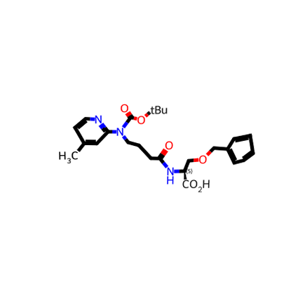 Cc1ccnc(N(CCCC(=O)N[C@@H](COCc2ccccc2)C(=O)O)C(=O)OC(C)(C)C)c1